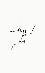 CCN[SiH](CC)N(C)C